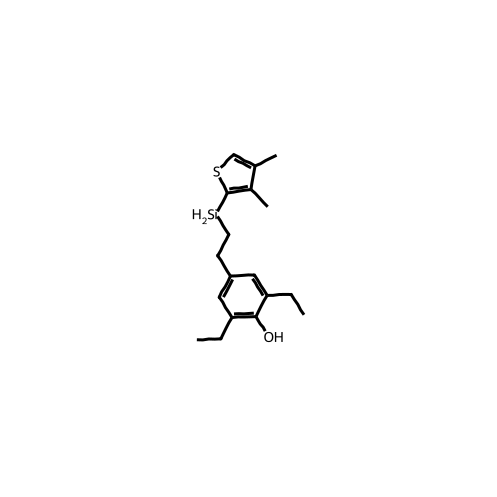 CCc1cc(CC[SiH2]c2scc(C)c2C)cc(CC)c1O